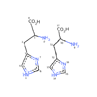 NC(Cc1c[nH]cn1)C(=O)O.NC(Cc1c[nH]cn1)C(=O)O